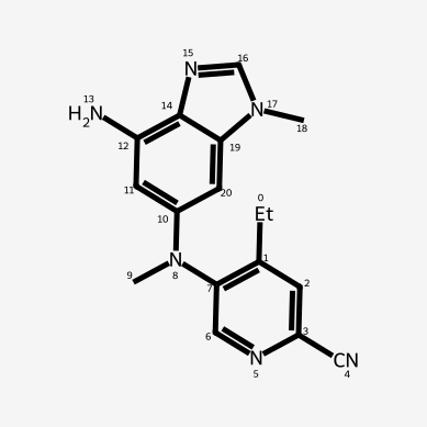 CCc1cc(C#N)ncc1N(C)c1cc(N)c2ncn(C)c2c1